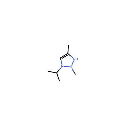 CC1=CN(C(C)C)N(C)N1